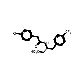 O=C(O)C[C@H](Cc1ccc(C(F)(F)F)cc1)NC(=O)Cc1ccc(Cl)cc1